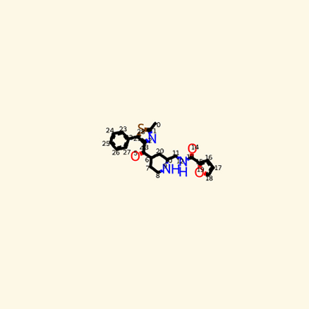 Cc1nc(C(=O)C2CCNC(CNC(=O)c3ccco3)C2)c(-c2ccccc2)s1